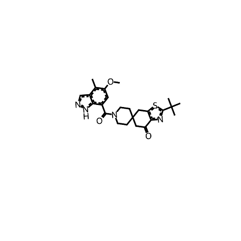 COc1cc(C(=O)N2CCC3(CC2)CC(=O)c2nc(C(C)(C)C)sc2C3)c2[nH]ncc2c1C